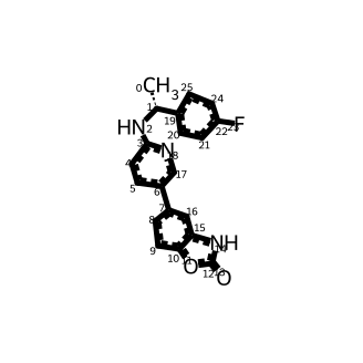 C[C@@H](Nc1ccc(-c2ccc3oc(=O)[nH]c3c2)cn1)c1ccc(F)cc1